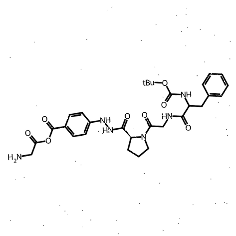 CC(C)(C)OC(=O)NC(Cc1ccccc1)C(=O)NCC(=O)N1CCC[C@H]1C(=O)NNc1ccc(C(=O)OC(=O)CN)cc1